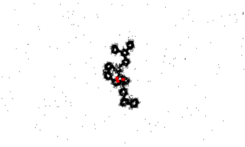 c1ccc(-c2cc(-c3ccccc3)cc(-c3cccc(-c4nc(-c5ccccc5)nc(-c5cccc6sc7ccc(-c8ccc9c(c8)c8ccccc8n9-c8ccc(-c9cccc%10c9sc9ccccc9%10)cc8)cc7c56)n4)c3)c2)cc1